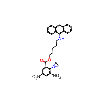 O=C(OCCCCCNc1c2ccccc2cc2ccccc12)c1cc([N+](=O)[O-])cc([N+](=O)[O-])c1N1CC1